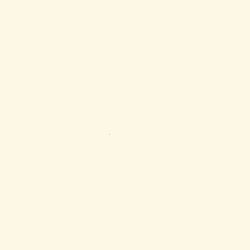 O=P(CCI)(Oc1ccccc1)Oc1ccccc1